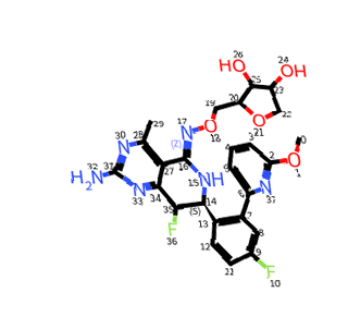 COc1cccc(-c2cc(F)ccc2[C@@H]2N/C(=N\OCC3OCC(O)C3O)c3c(C)nc(N)nc3C2F)n1